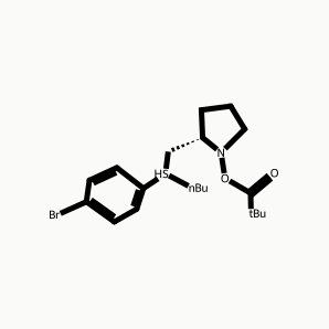 CCCC[SH](C[C@@H]1CCCN1OC(=O)C(C)(C)C)c1ccc(Br)cc1